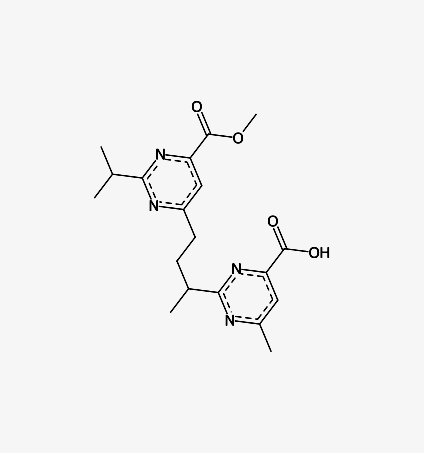 COC(=O)c1cc(CCC(C)c2nc(C)cc(C(=O)O)n2)nc(C(C)C)n1